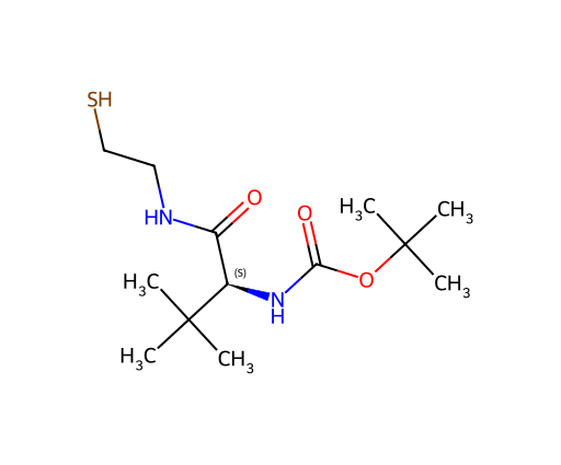 CC(C)(C)OC(=O)N[C@H](C(=O)NCCS)C(C)(C)C